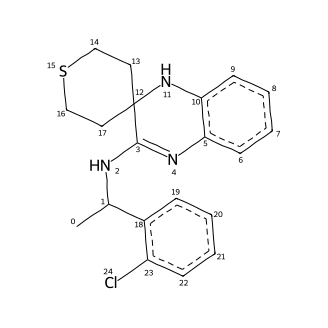 CC(NC1=Nc2ccccc2NC12CCSCC2)c1ccccc1Cl